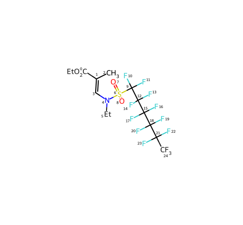 CCOC(=O)C(C)=CN(CC)S(=O)(=O)C(F)(F)C(F)(F)C(F)(F)C(F)(F)C(F)(F)C(F)(F)F